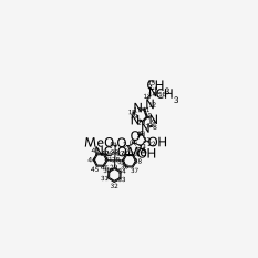 COC(OC[C@H]1O[C@@H](n2cnc3c(N=CN(C)C)ncnc32)C(O)C1O)C(C#N)(OC)C(c1ccccc1)(c1ccccc1)c1ccccc1